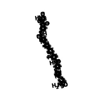 C[C@@H]1OCC2(CCN(c3cnc(Sc4cccc(NC(=O)c5ccc(N6CCC(N7CC=C(c8ccc(C(=O)NCc9ccc%10c(c9)CN(C9CCC(=O)NC9=O)C%10=O)nn8)CC7)CC6)c(F)c5)c4)cn3)CC2)[C@@H]1N